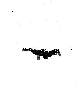 COCCN1CCn2nc(Nc3cc(-c4ccnc(-n5ccn6c7c(cc6c5=O)CC(C)(C)C7)c4C=O)cn(C)c3=O)cc2C1